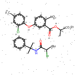 CC(C)(NC(=O)C(Br)C(C)(C)C)c1ccccc1.CCOC(=O)C(C)OC(=O)c1cc(Oc2ccc(C(F)(F)F)cc2Cl)ccc1[N+](=O)[O-]